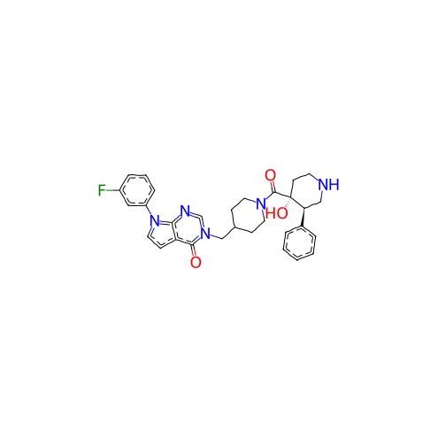 O=C(N1CCC(Cn2cnc3c(ccn3-c3cccc(F)c3)c2=O)CC1)[C@@]1(O)CCNC[C@H]1c1ccccc1